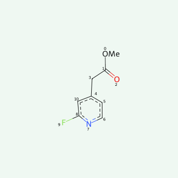 COC(=O)Cc1ccnc(F)c1